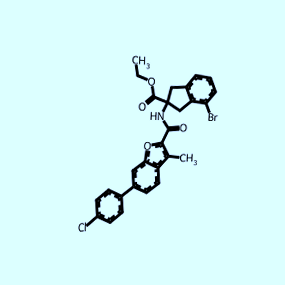 CCOC(=O)C1(NC(=O)c2oc3cc(-c4ccc(Cl)cc4)ccc3c2C)Cc2cccc(Br)c2C1